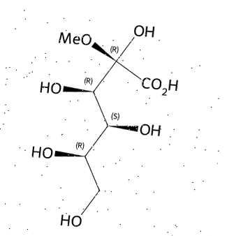 CO[C@@](O)(C(=O)O)[C@H](O)[C@@H](O)[C@H](O)CO